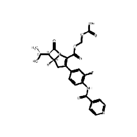 C[C@@H](O)[C@H]1C(=O)N2C(C(=O)OCOC(=O)C(C)(C)C)=C(c3ccc(NC(=O)c4ccncc4)c(F)c3)C[C@H]12